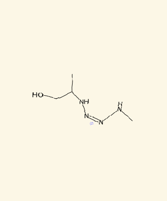 CN/N=N\NC(C)CO